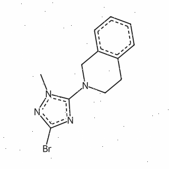 Cn1nc(Br)nc1N1CCc2ccccc2C1